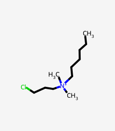 CCCCCC[N+](C)(C)CCCCl